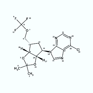 CC1(C)O[C@@H]2[C@H](COC(F)(F)F)C[C@@H](n3cnc4c(Cl)ncnc43)[C@@H]2O1